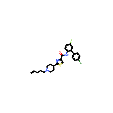 C=CCCCN1CCC(c2nc(C(=O)Nc3ccc(F)cc3-c3ccc(Cl)cc3)cs2)CC1